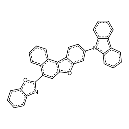 c1ccc2oc(-c3cc4oc5cc(-n6c7ccccc7c7ccccc76)ccc5c4c4ccccc34)nc2c1